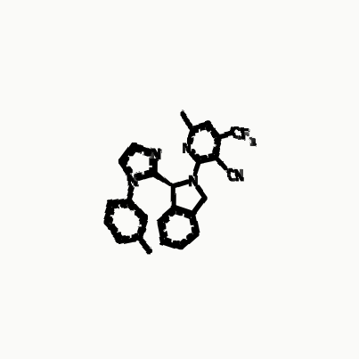 Cc1cccc(-n2ccnc2[C@@H]2c3ccccc3CN2c2nc(C)cc(C(F)(F)F)c2C#N)c1